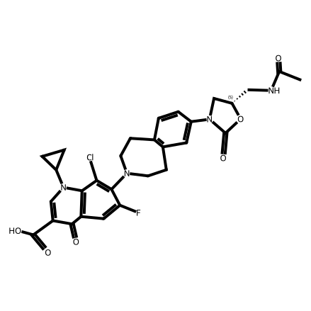 CC(=O)NC[C@H]1CN(c2ccc3c(c2)CCN(c2c(F)cc4c(=O)c(C(=O)O)cn(C5CC5)c4c2Cl)CC3)C(=O)O1